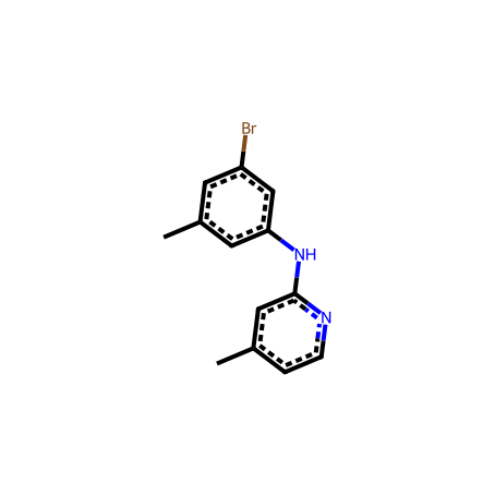 Cc1cc(Br)cc(Nc2cc(C)ccn2)c1